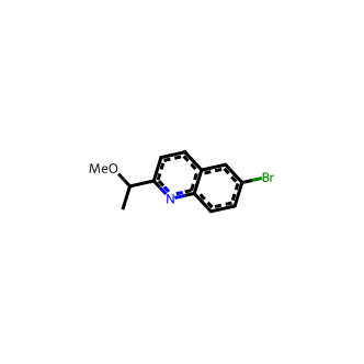 COC(C)c1ccc2cc(Br)ccc2n1